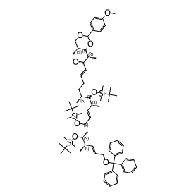 COc1ccc(C2OC[C@H](C)[C@@H]([C@@H](C)C(=O)C=CCC[C@H](C)[C@@H](O[Si](C)(C)C(C)(C)C)[C@@H](C)C=C[C@H](C[C@H](O[Si](C)(C)C(C)(C)C)[C@H](C)C=CCOC(c3ccccc3)(c3ccccc3)c3ccccc3)O[Si](C)(C)C(C)(C)C)O2)cc1